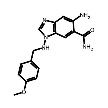 COc1ccc(CNn2cnc3cc(N)c(C(N)=O)cc32)cc1